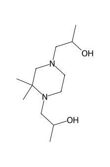 CC(O)CN1CCN(CC(C)O)C(C)(C)C1